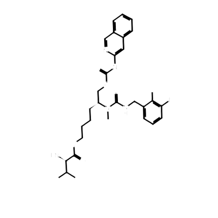 CC(C)[C@@H](N)C(=O)OCCCC[C@@H](COC(=O)Nc1cc2ccccc2cn1)N(C)C(=O)NCc1cccc(F)c1F